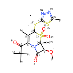 CO[C@H]1C(=O)N2C(C(=O)C(C)(C)C)=C(C)C(Sc3nnc(C)s3)S(=O)(=O)[C@H]12